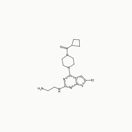 CCc1cc2c(N3CCN(C(=O)C4CCC4)CC3)nc(NCCN)nc2s1